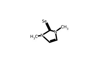 Cn1ccn(C)c1=[Se]